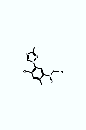 Cc1cc(Cl)c(-n2cnc(C(F)(F)F)n2)cc1[S+]([O-])CC#N